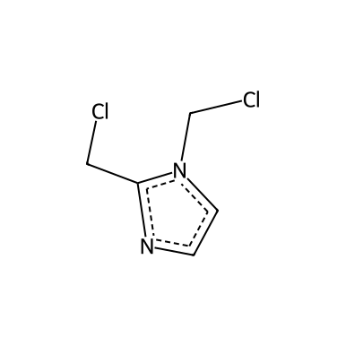 ClCc1nccn1CCl